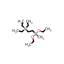 CCO[Si](C)(CC[Si](CC)(CC)CC)OCC